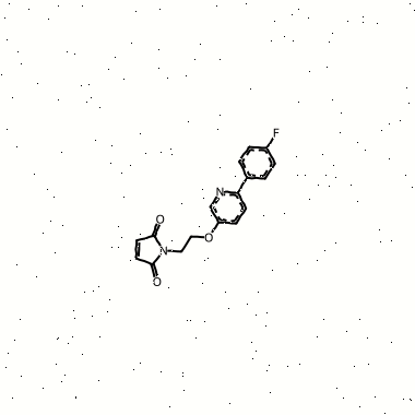 O=C1C=CC(=O)N1CCOc1ccc(-c2ccc(F)cc2)nc1